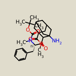 COC(=O)C12CC3CC(CC(N)(C3)C1C(=O)[C@H](Cc1ccccc1)N(C)C(=O)OC(C)(C)C)C2